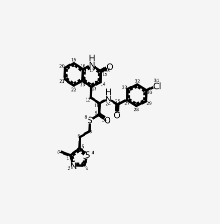 Cc1ncsc1CCSC(=O)C(Cc1cc(=O)[nH]c2ccccc12)NC(=O)c1ccc(Cl)cc1